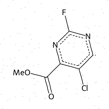 COC(=O)c1nc(F)n[c]c1Cl